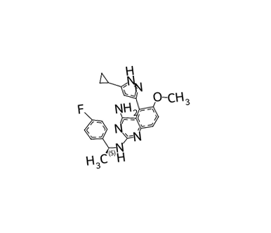 COc1ccc2nc(N[C@@H](C)c3ccc(F)cc3)nc(N)c2c1-c1cc(C2CC2)[nH]n1